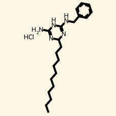 CCCCCCCCCCCC1N=C(N)NC(NCc2ccccc2)=N1.Cl